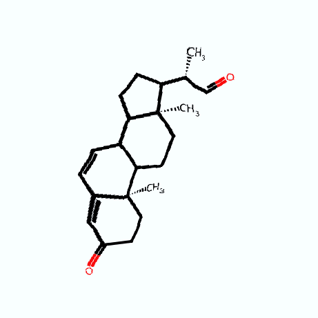 C[C@H](C=O)C1CCC2C3C=CC4=CC(=O)CC[C@]4(C)C3CC[C@@]21C